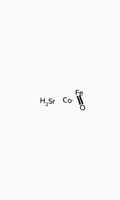 [Co].[O]=[Fe].[SrH2]